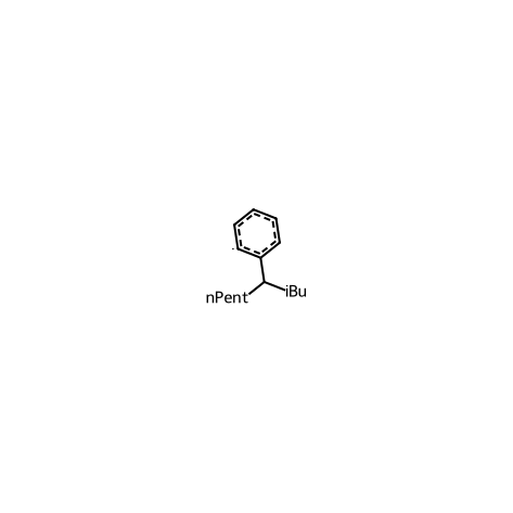 CCCCCC(c1[c]cccc1)C(C)CC